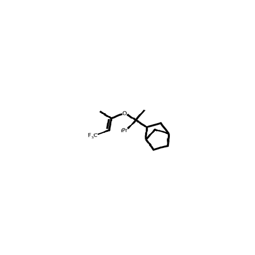 CC(=CC(F)(F)F)OC(C)(C(C)C)C1CC2CCC1C2